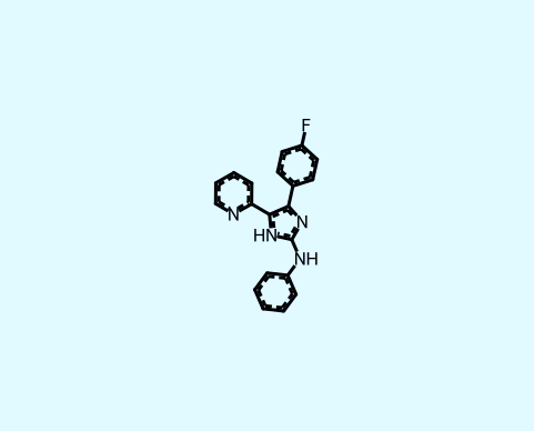 Fc1ccc(-c2nc(Nc3ccccc3)[nH]c2-c2ccccn2)cc1